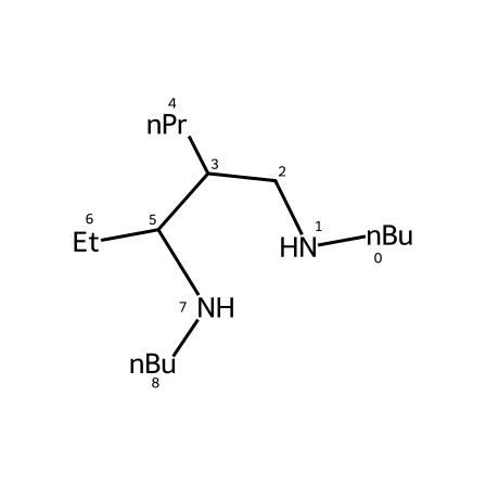 CCCCNCC(CCC)C(CC)NCCCC